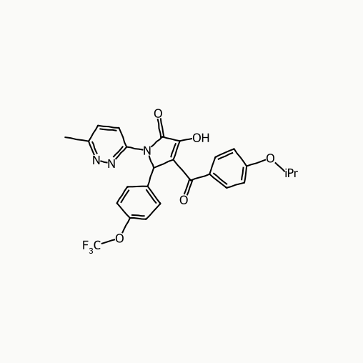 Cc1ccc(N2C(=O)C(O)=C(C(=O)c3ccc(OC(C)C)cc3)C2c2ccc(OC(F)(F)F)cc2)nn1